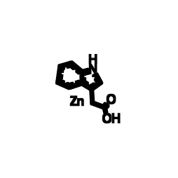 O=C(O)Cc1c[nH]c2ccccc12.[Zn]